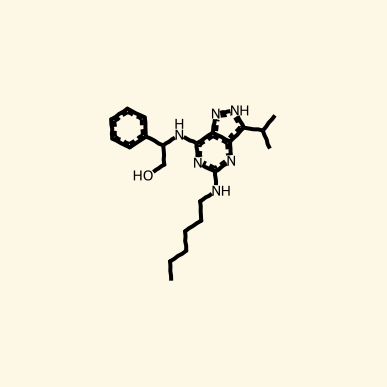 CCCCCCNc1nc(NC(CO)c2ccccc2)c2n[nH]c(C(C)C)c2n1